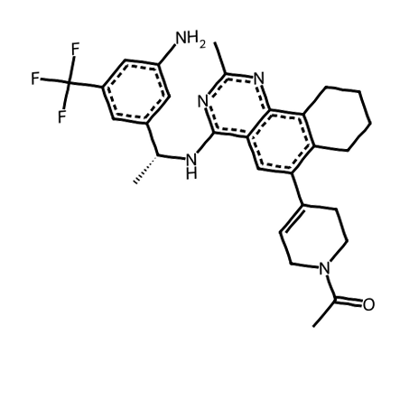 CC(=O)N1CC=C(c2cc3c(N[C@H](C)c4cc(N)cc(C(F)(F)F)c4)nc(C)nc3c3c2CCCC3)CC1